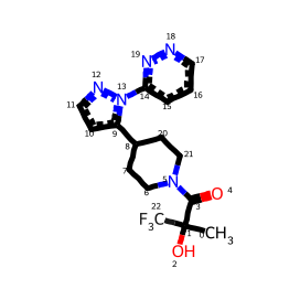 CC(O)(C(=O)N1CCC(c2ccnn2-c2cccnn2)CC1)C(F)(F)F